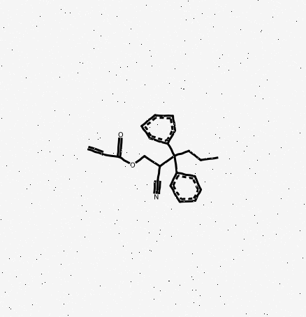 C=CC(=O)OCC(C#N)C(CCC)(c1ccccc1)c1ccccc1